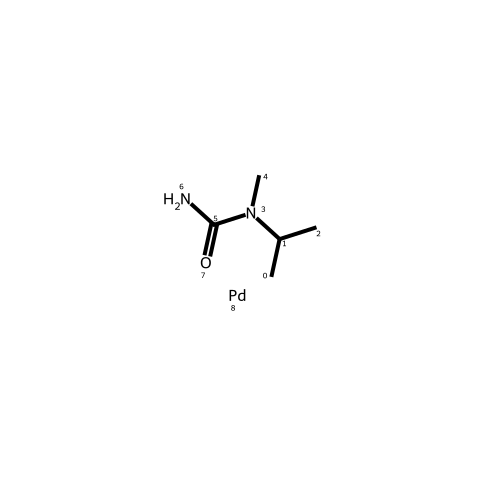 CC(C)N(C)C(N)=O.[Pd]